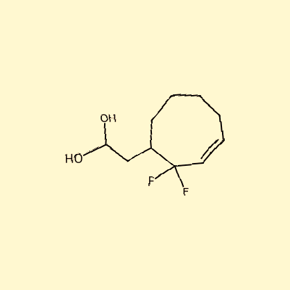 OC(O)CC1CCCC/C=C\C1(F)F